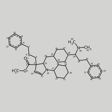 COC(=O)C1(CSCc2ccccc2)N=CN(C2CCCCC2)C1CC1CCC(C(CCc2ccccc2)N(C)C)CC1